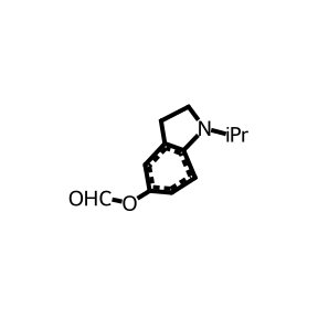 CC(C)N1CCc2cc(OC=O)ccc21